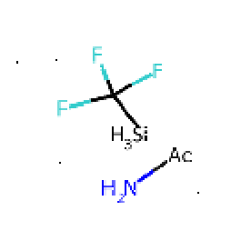 CC(N)=O.FC(F)(F)[SiH3]